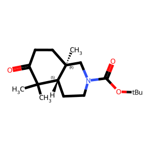 CC(C)(C)OC(=O)N1CC[C@@H]2C(C)(C)C(=O)CC[C@@]2(C)C1